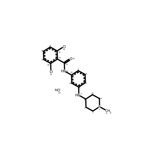 CN1CCC(Nc2cccc(NC(=O)c3c(Cl)cccc3Cl)c2)CC1.Cl